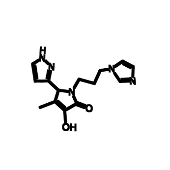 CC1=C(O)C(=O)N(CCCn2ccnc2)C1c1cc[nH]n1